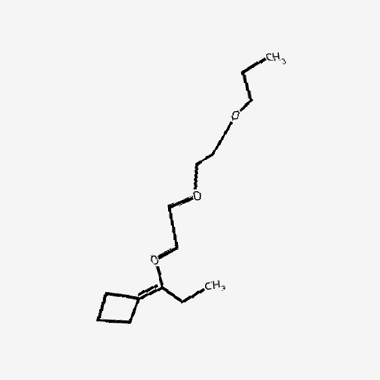 CCCOCCOCCOC(CC)=C1CCC1